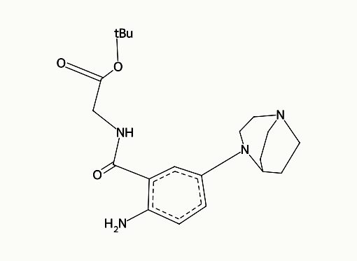 CC(C)(C)OC(=O)CNC(=O)c1cc(N2CCN3CCC2CC3)ccc1N